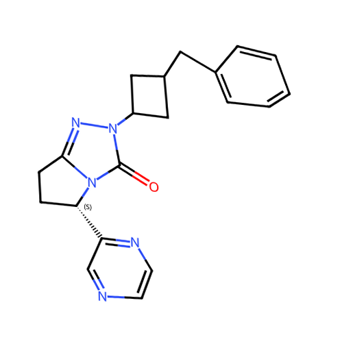 O=c1n(C2CC(Cc3ccccc3)C2)nc2n1[C@H](c1cnccn1)CC2